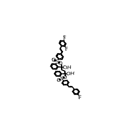 CC(O)(CCC(C)(O)c1ccccc1S(=O)(=O)c1ccc(C=Cc2ccc(F)cc2F)cc1)c1ccccc1S(=O)(=O)c1ccc(C=Cc2ccc(F)cc2)cc1